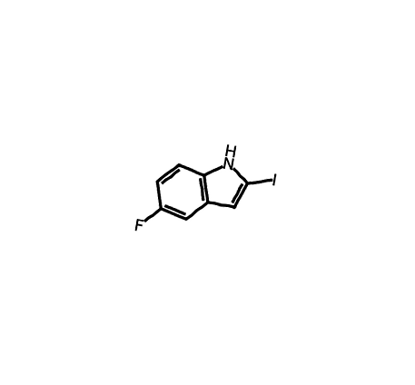 Fc1ccc2[nH]c(I)cc2c1